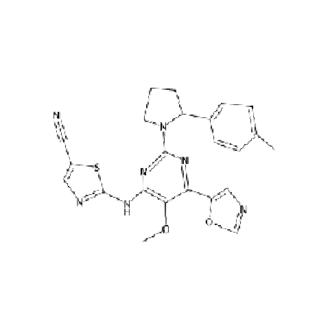 COc1c(Nc2ncc(C#N)s2)nc(N2CCCC2c2ccc(C)cc2)nc1-c1cnco1